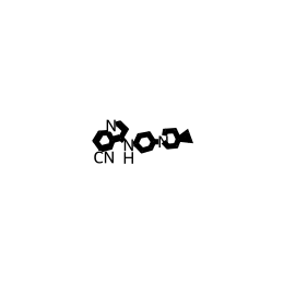 N#Cc1ccc2nccc(NC3CCC(N4CCC5(CC4)CC5)CC3)c2c1